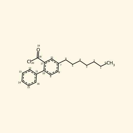 CCCCCCCc1ccc(-c2ccccc2)c(C(=O)Cl)c1